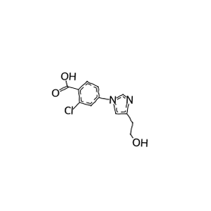 O=C(O)c1ccc(-n2cnc(CCO)c2)cc1Cl